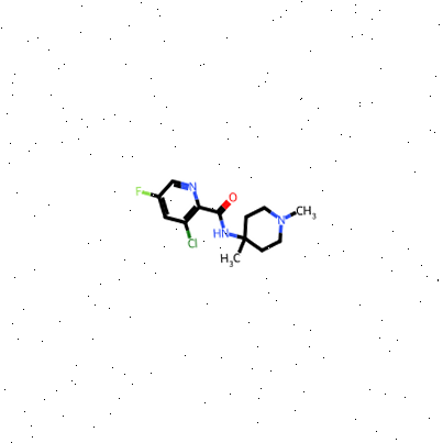 CN1CCC(C)(NC(=O)c2ncc(F)cc2Cl)CC1